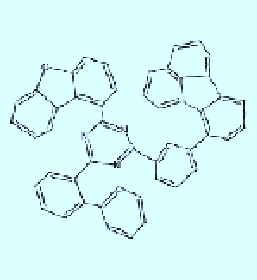 c1ccc(-c2ccccc2-c2nc(-c3cccc(-c4cccc5c4-c4cccc6cccc-5c46)c3)nc(-c3cccc4oc5ccccc5c34)n2)cc1